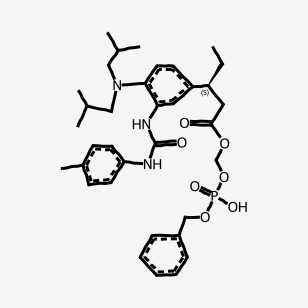 CC[C@@H](CC(=O)OCOP(=O)(O)OCc1ccccc1)c1ccc(N(CC(C)C)CC(C)C)c(NC(=O)Nc2ccc(C)cc2)c1